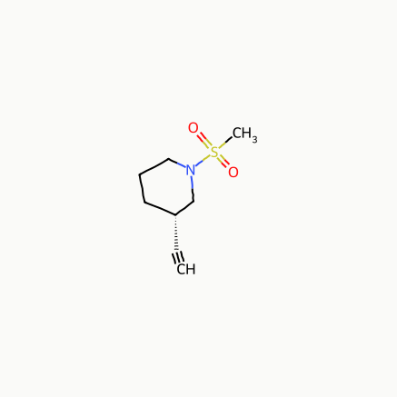 C#C[C@@H]1CCCN(S(C)(=O)=O)C1